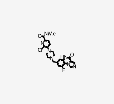 CNC(=O)c1ccc(N2CCN(Cc3cc(F)c4c(c3)[nH]c(=O)c3cncn34)CC2)c(Cl)n1